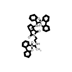 CC(NCCN1C(=O)C2C3C=CC(NC(c4ccccc4)P4(=O)Oc5ccccc5-c5ccccc54)(O3)C2C1=O)P1(=O)Oc2ccccc2-c2ccccc21